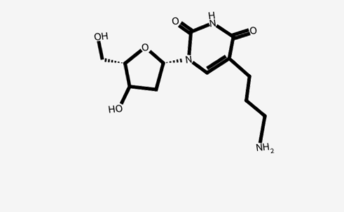 NCCCc1cn([C@@H]2CC(O)[C@H](CO)O2)c(=O)[nH]c1=O